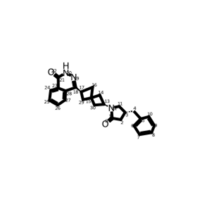 O=C1C[C@@H](Cc2ccccc2)CN1[C@H]1CC2(C[C@H](c3n[nH]c(=O)c4ccccc43)C2)C1